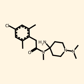 Cc1cc(Cl)cc(C)c1CC(=O)N(C)C1(N)CCN(N(C)C)CC1